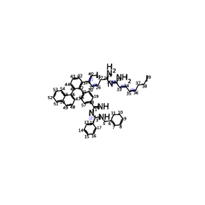 N=C(/N=C(\NCC1=CC=CCC1)c1ccccc1)c1ccc(-c2c(C(/C=C\CC(N)/N=C(N)/C=C/C=C\CCI)=C/I)cccc2-c2cccc3ccccc23)cc1